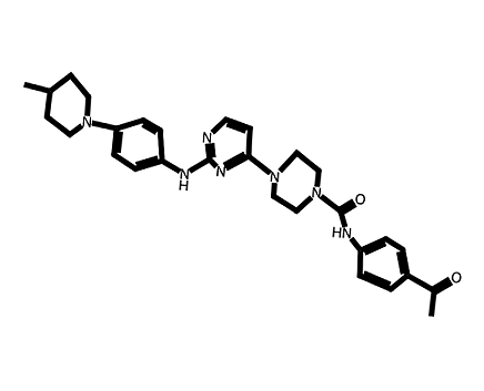 CC(=O)c1ccc(NC(=O)N2CCN(c3ccnc(Nc4ccc(N5CCC(C)CC5)cc4)n3)CC2)cc1